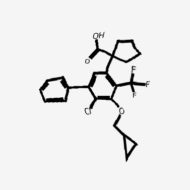 O=C(O)C1(c2cc(-c3ccccc3)c(Cl)c(OCC3CC3)c2C(F)(F)F)CCCC1